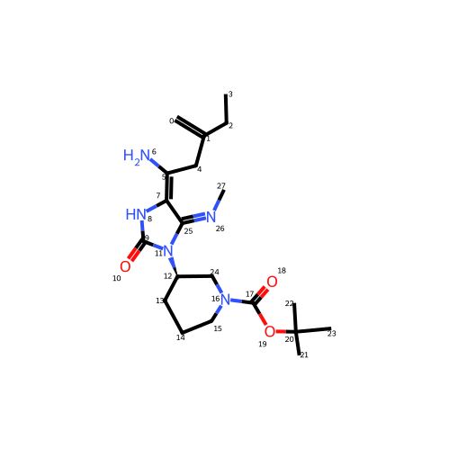 C=C(CC)C/C(N)=C1/NC(=O)N([C@@H]2CCCN(C(=O)OC(C)(C)C)C2)/C1=N/C